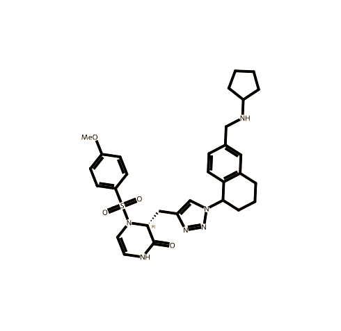 COc1ccc(S(=O)(=O)N2C=CNC(=O)[C@H]2Cc2cn(C3CCCc4cc(CNC5CCCC5)ccc43)nn2)cc1